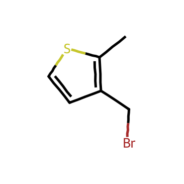 Cc1sccc1CBr